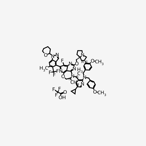 COc1ccc(CN(Cc2ccc(OC)cc2)c2ncc(C3CC3)cc2[C@@H](C)N2c3nc(OC[C@@]45CCCN4C[C@H](F)C5)nc4c(F)c(-c5c(C(F)(F)F)c(C)cc6c5cnn6C5CCCCO5)nc(c34)OC[C@@H]2C)cc1.O=C(O)C(F)(F)F